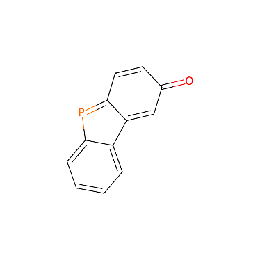 O=C1C=CC2=Pc3ccccc3C2=C1